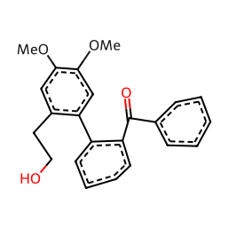 COc1cc(CCO)c(-c2ccccc2C(=O)c2ccccc2)cc1OC